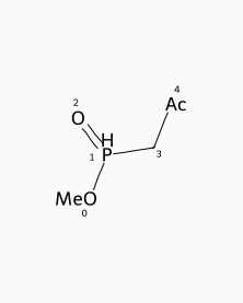 CO[PH](=O)CC(C)=O